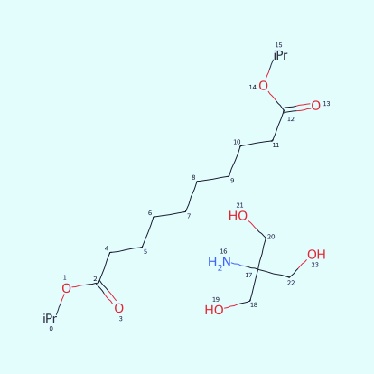 CC(C)OC(=O)CCCCCCCCC(=O)OC(C)C.NC(CO)(CO)CO